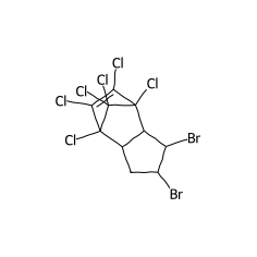 ClC1=C(Cl)C2(Cl)C3C(Br)C(Br)CC3C1(Cl)C2(Cl)Cl